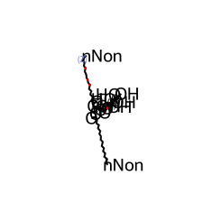 CCCCCCCCCC=CCCCCCCCCCCCCCCC(=O)OC[C@H](COP(=O)(O)OC[C@@H](O)[C@@H](O)[C@H](O)[C@H](O)CO)OC(=O)CCCCCCCCCCCCCC/C=C\CCCCCCCCC